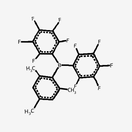 Cc1cc(C)c(B(c2c(F)c(F)c(F)c(F)c2F)c2c(F)c(F)c(F)c(F)c2F)c(C)c1